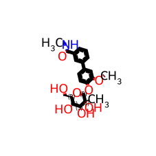 CNC(=O)c1cccc(-c2ccc(O[C@H]3O[C@H](CO)[C@@H](O)[C@H](O)[C@]3(C)O)c(OC)c2)c1